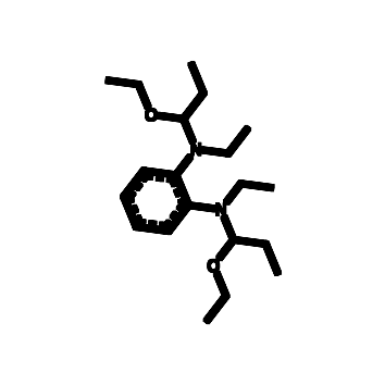 CCOC(CC)N(CC)c1ccccc1N(CC)C(CC)OCC